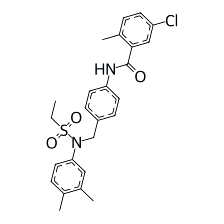 CCS(=O)(=O)N(Cc1ccc(NC(=O)c2cc(Cl)ccc2C)cc1)c1ccc(C)c(C)c1